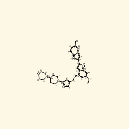 COc1cc(OCc2csc(N3CCC(N4CCOCC4)CC3)n2)c2cc(-c3cn4nc(C)ccc4n3)oc2c1